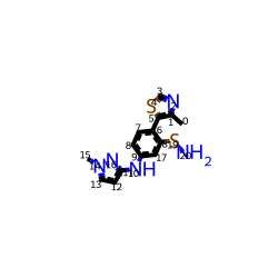 Cc1ncsc1-c1ccc(Nc2ccn(C)n2)cc1SN